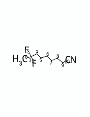 CC(F)(F)CCCCCCC#N